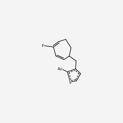 CC(=O)c1sccc1CC1C=CC(F)=CCC1